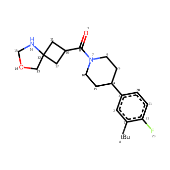 CC(C)(C)c1cc(C2CCN(C(=O)C3CC4(COCN4)C3)CC2)ccc1F